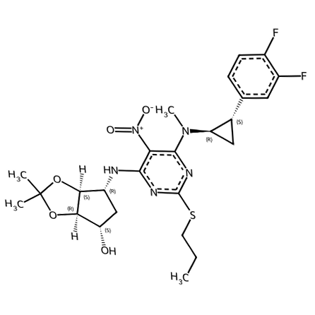 CCCSc1nc(N[C@@H]2C[C@H](O)[C@H]3OC(C)(C)O[C@H]32)c([N+](=O)[O-])c(N(C)[C@@H]2C[C@H]2c2ccc(F)c(F)c2)n1